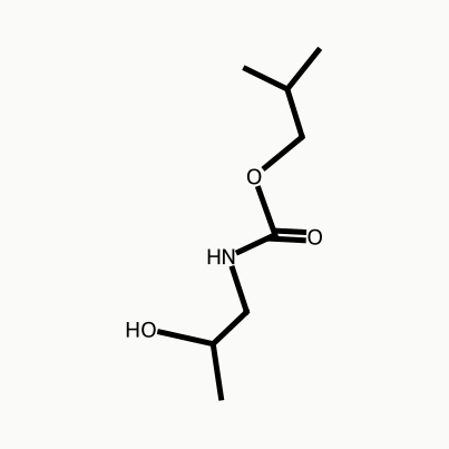 CC(C)COC(=O)NCC(C)O